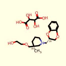 C[C@]1(COCCO)CCCN(C[C@H]2COc3ccccc3O2)C1.O=C(O)C(O)C(O)C(=O)O